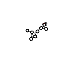 c1ccc(-c2ccc(N(c3ccc(-c4ccc5c(c4)-c4ccccc4C54C5CC6CC(C5)CC4C6)cc3)c3cccc4c3oc3ccccc34)cc2)cc1